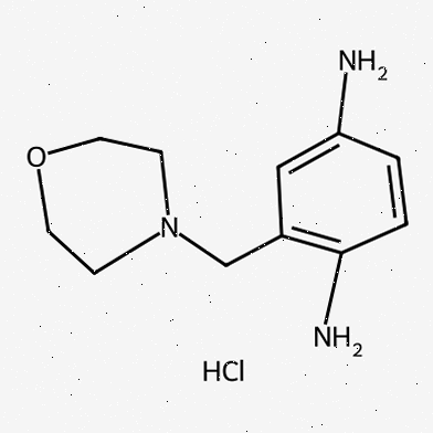 Cl.Nc1ccc(N)c(CN2CCOCC2)c1